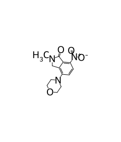 CN1Cc2c(N3CCOCC3)ccc([N+](=O)[O-])c2C1=O